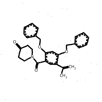 C=C(C)c1cc(C(=O)N2CCC(=O)CC2)c(OCc2ccccc2)cc1OCc1ccccc1